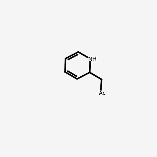 CC(=O)CC1C=CC=CN1